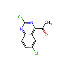 CC(=O)c1nc(Cl)nc2ccc(Cl)cc12